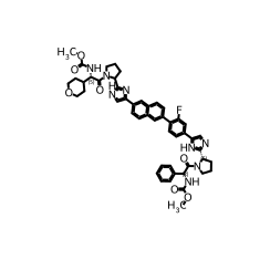 COC(=O)N[C@H](C(=O)N1CCCC1c1nc(-c2ccc3cc(-c4ccc(-c5cnc([C@@H]6CCCN6C(=O)[C@H](NC(=O)OC)c6ccccc6)[nH]5)cc4F)ccc3c2)c[nH]1)C1CCOCC1